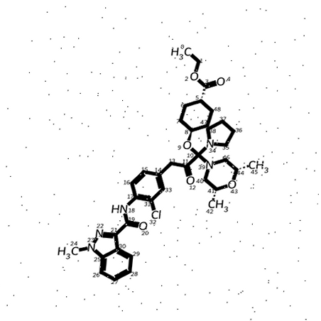 CCOC(=O)[C@H]1CC[C@H](OC(C(=O)Cc2ccc(NC(=O)c3nn(C)c4ccccc34)c(Cl)c2)(N2CCCC2)N2C[C@@H](C)O[C@@H](C)C2)CC1